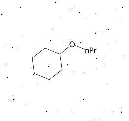 CCCOC1[CH]CCCC1